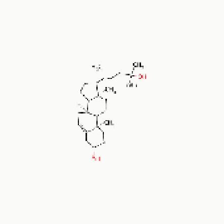 CCCCC(C)(O)CC[C@@H](C)[C@H]1CCC2[C@@H]3CC=C4C[C@@H](O)CC[C@]4(C)C3CC[C@@]21C